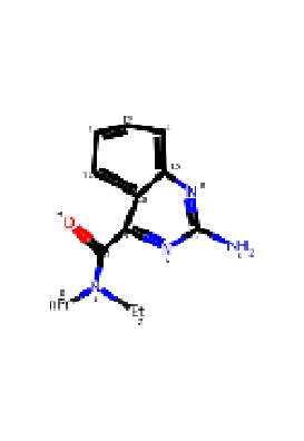 CCCN(CC)C(=O)c1nc(N)nc2ccccc12